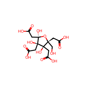 O=C(O)C[C@]1(CO)O[C@](O)(CC(=O)O)[C@@](O)(CC(=O)O)[C@@]1(O)CC(=O)O